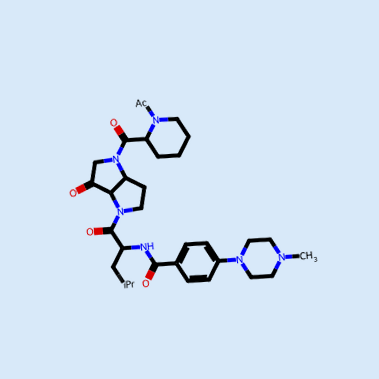 CC(=O)N1CCCCC1C(=O)N1CC(=O)C2C1CCN2C(=O)C(CC(C)C)NC(=O)c1ccc(N2CCN(C)CC2)cc1